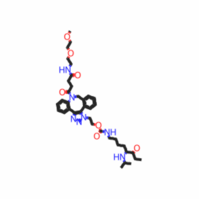 CCC(=O)C(CCCCNC(=O)OCCn1nnc2c1-c1ccccc1CN(C(=O)CCC(=O)NCCOCCOC)c1ccccc1-2)NC(C)C